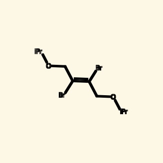 CC(C)OC/C(Br)=C(\Br)COC(C)C